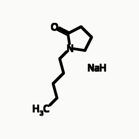 CCCCCN1CCCC1=O.[NaH]